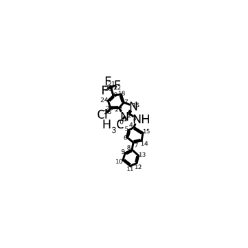 Cn1c(Nc2ccc(-c3ccccc3)cc2)nc2cc(C(F)(F)F)cc(Cl)c21